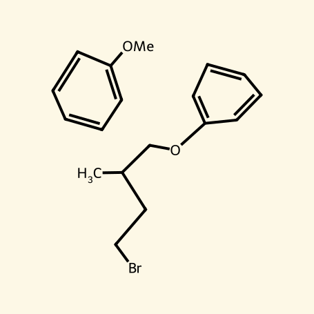 CC(CCBr)COc1ccccc1.COc1ccccc1